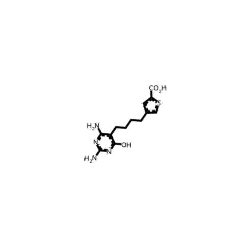 Nc1nc(N)c(CCCCc2[c]c(C(=O)O)sc2)c(O)n1